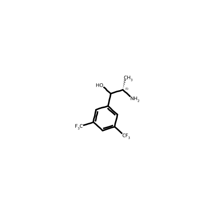 C[C@H](N)C(O)c1cc(C(F)(F)F)cc(C(F)(F)F)c1